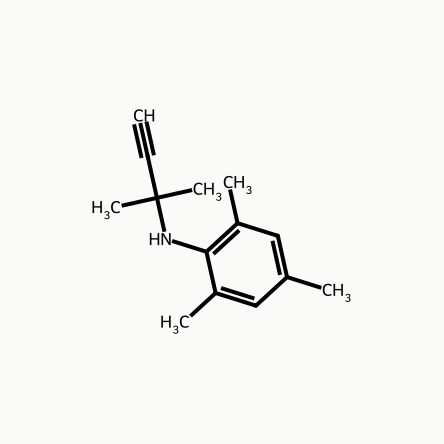 C#CC(C)(C)Nc1c(C)cc(C)cc1C